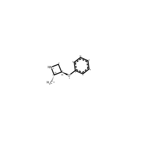 C[C@@H]1NC[C@H]1Oc1ccccc1